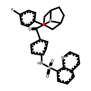 O=C(c1ccc(NS(=O)(=O)c2cccc3cccnc23)cc1)N1CC2CCC(C1)N2Cc1ccc(F)cc1